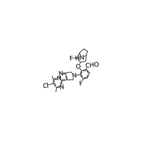 Cc1nc2c3c(nn2c(C)c1Cl)CN(c1c(F)ccc(C=O)c1OC1CC2CCC(N2)C1F)C3